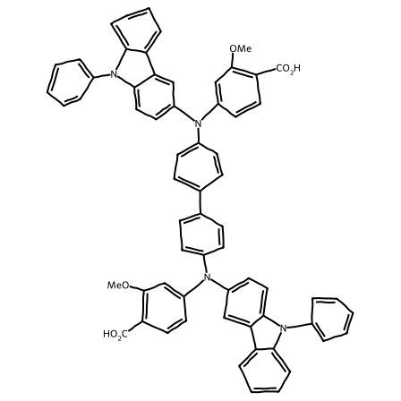 COc1cc(N(c2ccc(-c3ccc(N(c4ccc(C(=O)O)c(OC)c4)c4ccc5c(c4)c4ccccc4n5-c4ccccc4)cc3)cc2)c2ccc3c(c2)c2ccccc2n3-c2ccccc2)ccc1C(=O)O